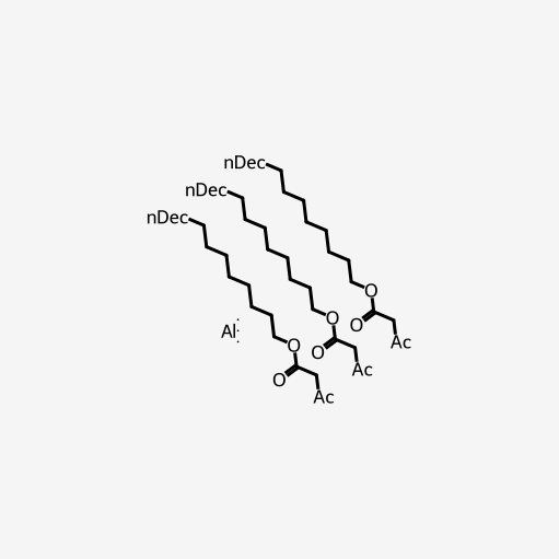 CCCCCCCCCCCCCCCCCCOC(=O)CC(C)=O.CCCCCCCCCCCCCCCCCCOC(=O)CC(C)=O.CCCCCCCCCCCCCCCCCCOC(=O)CC(C)=O.[Al]